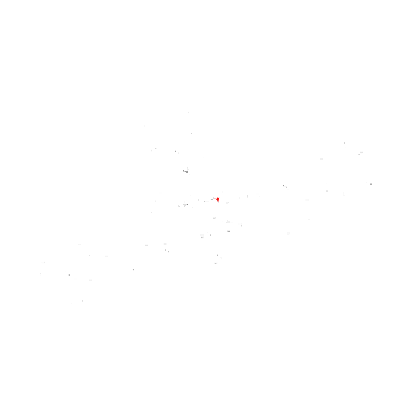 Cc1c(C2CC3COCC(C2)N3C(=O)OC(C)(C)C)nc2c(-c3ccc(-c4ccccc4)nc3)cnn2c1NCOCC[Si](C)(C)C